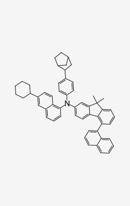 CC1(C)c2cc(N(c3ccc(C4CC5CCC4C5)cc3)c3cccc4cc(C5CCCCC5)ccc34)ccc2-c2c(-c3cccc4ccccc34)cccc21